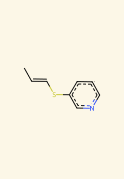 CC=CSc1c[c]cnc1